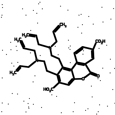 C=CCN(CC=C)CCc1c(C(=O)O)cc2oc(=O)c3cc(C(=O)O)ccc3c2c1CCN(CC=C)CC=C